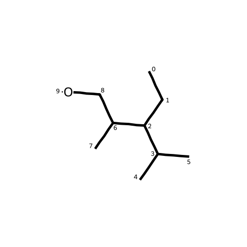 CCC(C(C)C)C(C)C[O]